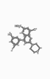 O=C(O)c1cc(Cl)c2nc(N3CCOCC3)nc(-c3cc(O)cc(F)c3)c2n1